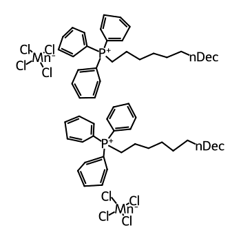 CCCCCCCCCCCCCCCC[P+](c1ccccc1)(c1ccccc1)c1ccccc1.CCCCCCCCCCCCCCCC[P+](c1ccccc1)(c1ccccc1)c1ccccc1.[Cl][Mn-]([Cl])([Cl])[Cl].[Cl][Mn-]([Cl])([Cl])[Cl]